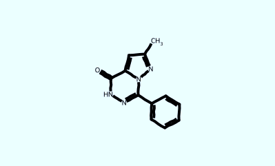 Cc1cc2c(=O)[nH]nc(-c3ccccc3)n2n1